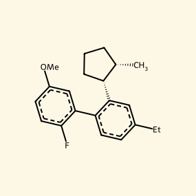 CCc1ccc(-c2cc(OC)ccc2F)c([C@@H]2CCC[C@@H]2C)c1